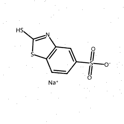 O=S(=O)([O-])c1ccc2sc(S)nc2c1.[Na+]